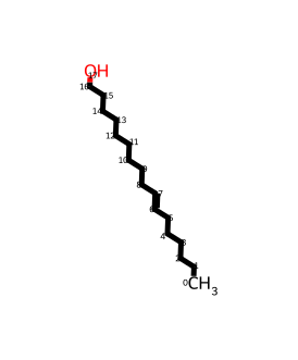 CCCCCC/C=C/CCCCCCCCCO